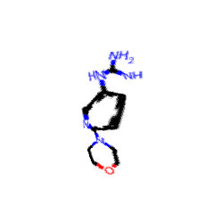 N=C(N)Nc1ccc(N2CCOCC2)nc1